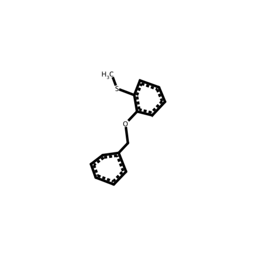 CSc1ccc[c]c1OCc1ccccc1